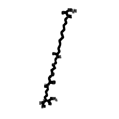 CCN[C@@H](CCCCNC(=O)COCCOCCNC(=O)CCCCCCCCCCNC(=O)C(=O)O)C(N)=O